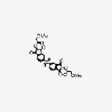 COCC(=O)ON1C(=O)c2ccc(S(=O)(=O)c3ccc4c(c3)C(=O)N(OC(=O)COC)C4=O)cc2C1=O